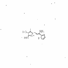 C[C@@H]1[C@H](O)C(=N)N[C@@H]1CCC(N)c1ncc[nH]1